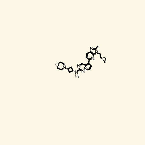 COCCn1c(C)nc2ccc(-c3ccn4nc(N[C@H]5C[C@@H](N6CCOCC6)C5)ncc34)nc21